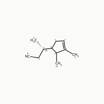 CC1=CCC([C@@H](C)CC#N)C1C